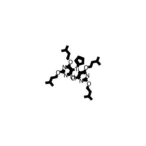 CC(C)CCOc1nc(Cl)[c]([Ti]([C]2=CC=CC2)[c]2c(Cl)nc(OCCC(C)C)nc2OCCC(C)C)c(OCCC(C)C)n1